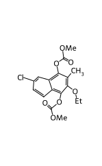 CCOc1c(C)c(OC(=O)OC)c2cc(Cl)ccc2c1OC(=O)OC